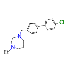 CCN1CCCN(Cc2ccc(-c3ccc(Cl)cc3)cc2)CC1